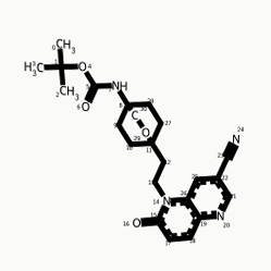 CC(C)(C)OC(=O)NC12CCC(CCn3c(=O)ccc4ncc(C#N)cc43)(CC1)OC2